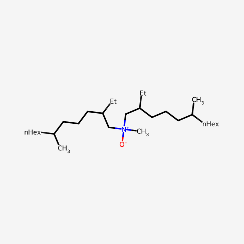 CCCCCCC(C)CCCC(CC)C[N+](C)([O-])CC(CC)CCCC(C)CCCCCC